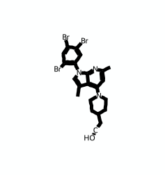 Cc1cc(N2CCC(CCO)CC2)c2c(C)cn(-c3cc(Br)c(Br)cc3Br)c2n1